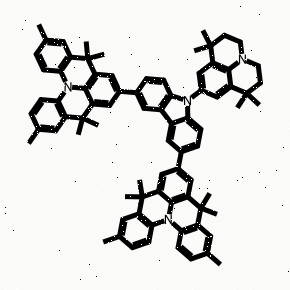 Cc1ccc2c(c1)C(C)(C)c1cc(-c3ccc4c(c3)c3cc(-c5cc6c7c(c5)C(C)(C)c5cc(C)ccc5N7c5ccc(C)cc5C6(C)C)ccc3n4-c3cc4c5c(c3)C(C)(C)CCN5CCC4(C)C)cc3c1N2c1ccc(C)cc1C3(C)C